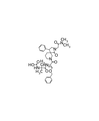 CN(C)C(=O)CN1CC(c2ccccc2)C2(CCCN(C(=O)[C@@H](COCc3ccccc3)NC(=O)C(C)(C)NC(=O)O)C2)C1=O